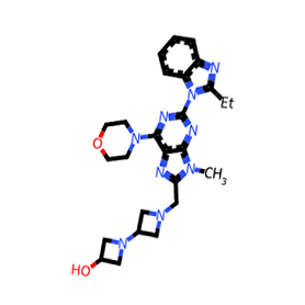 CCc1nc2ccccc2n1-c1nc(N2CCOCC2)c2nc(CN3CC(N4CC(O)C4)C3)n(C)c2n1